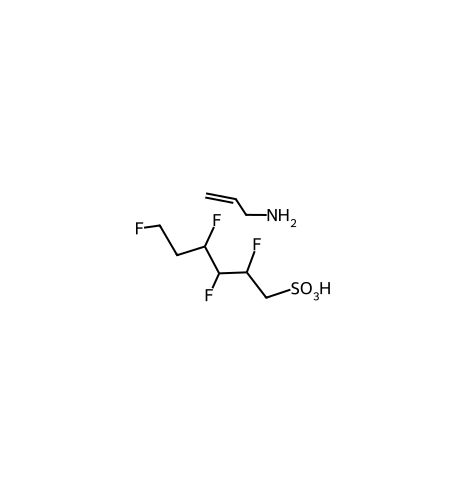 C=CCN.O=S(=O)(O)CC(F)C(F)C(F)CCF